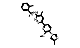 COc1nc(-c2cc(C)c(N[C@@H](C)c3ccccc3C)nn2)ccc1-n1cnc(C)c1